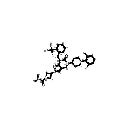 Cc1cccc(F)c1N1CCC(N2Cc3cn(C4CN(C(=O)N(C)C)C4)nc3N(Cc3ccccc3C(F)(F)F)C2=O)CC1